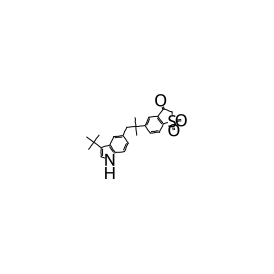 CC(C)(C)c1c[nH]c2ccc(CC(C)(C)c3ccc4c(c3)C(=O)CS4(=O)=O)cc12